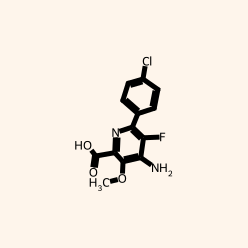 COc1c(C(=O)O)nc(-c2ccc(Cl)cc2)c(F)c1N